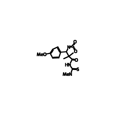 CNC(=S)NC(=O)C(C)(C)C(N=S(=O)=O)c1ccc(OC)cc1